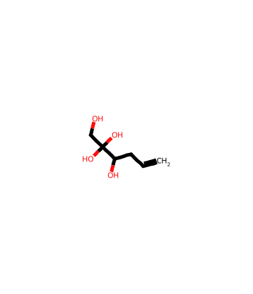 C=CCC(O)C(O)(O)CO